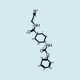 N#CCNC(=O)[C@H]1CC[C@H](NC(=O)Oc2ccccc2)CC1